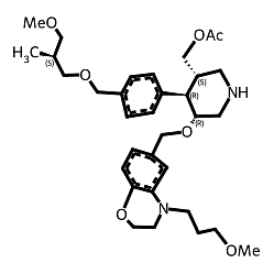 COCCCN1CCOc2ccc(CO[C@H]3CNC[C@@H](COC(C)=O)[C@@H]3c3ccc(COC[C@@H](C)COC)cc3)cc21